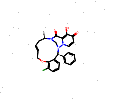 CC[C@@H]1C/C=C/COc2c(F)cccc2[C@H](c2ccccc2)N2CN1C(=O)c1c(O)c(=O)ccn12